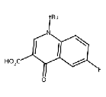 CC(C)(C)n1cc(C(=O)O)c(=O)c2cc(F)ccc21